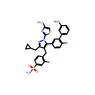 COc1cccc(-c2cc(-c3c(Cc4ccc(S(N)(=O)=O)cc4F)c(CC4CC4)nn3-c3nc(C(=O)O)cs3)ccc2F)c1